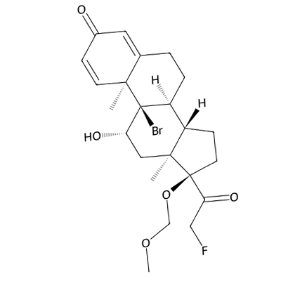 COCO[C@]1(C(=O)CF)CC[C@H]2[C@@H]3CCC4=CC(=O)C=C[C@]4(C)[C@@]3(Br)[C@@H](O)C[C@@]21C